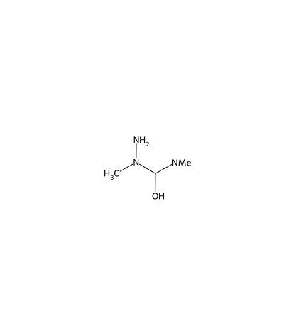 CNC(O)N(C)N